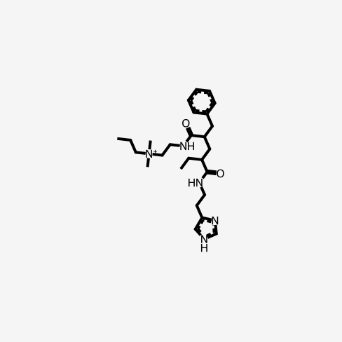 CCC[N+](C)(C)CCNC(=O)C(Cc1ccccc1)CC(CC)C(=O)NCCc1c[nH]cn1